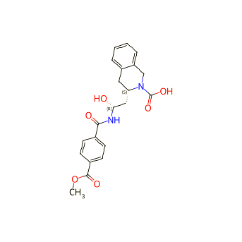 COC(=O)c1ccc(C(=O)N[C@H](O)C[C@@H]2Cc3ccccc3CN2C(=O)O)cc1